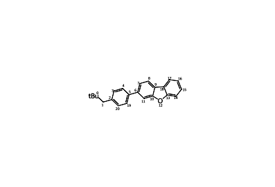 CC(C)(C)Cc1ccc(-c2ccc3c(c2)oc2ccccc23)cc1